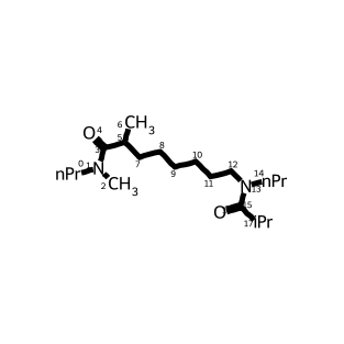 CCCN(C)C(=O)C(C)CCCCCCN(CCC)C(=O)C(C)C